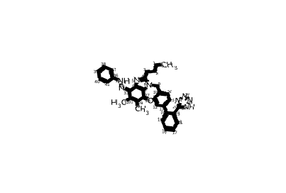 CCCCc1nc2c(n1Cc1ccc(-c3ccccc3-c3nnn[nH]3)cc1)C(=O)C(C)=C(C)C2=NNc1ccccc1